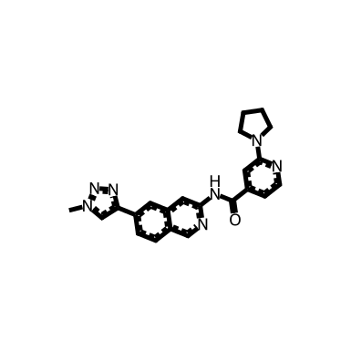 Cn1cc(-c2ccc3cnc(NC(=O)c4ccnc(N5CCCC5)c4)cc3c2)nn1